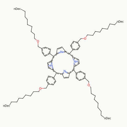 CCCCCCCCCCCCCCCCCCOCc1ccc(-c2c3nc(c(-c4ccc(COCCCCCCCCCCCCCCCCCC)cc4)c4ccc([nH]4)c(-c4ccc(COCCCCCCCCCCCCCCCCCC)cc4)c4nc(c(-c5ccc(COCCCCCCCCCCCCCCCCCC)cc5)c5ccc2[nH]5)C=C4)C=C3)cc1